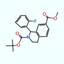 COC(=O)c1ccc2c(c1)C(c1ccccc1F)N(C(=O)OC(C)(C)C)CC2